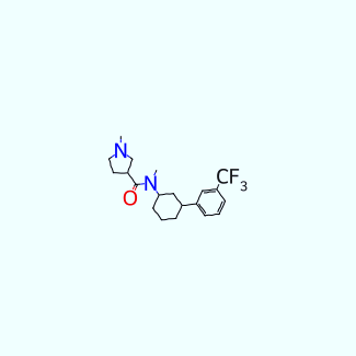 CN1CCC(C(=O)N(C)C2CCCC(c3cccc(C(F)(F)F)c3)C2)C1